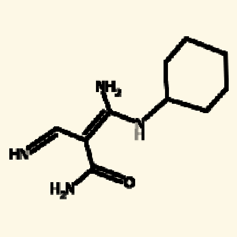 N=C/C(C(N)=O)=C(\N)NC1CCCCC1